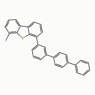 Ic1cccc2c1sc1c(-c3cccc(-c4ccc(-c5ccccc5)cc4)c3)cccc12